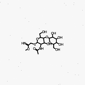 COC(=N)CSC1OC(CO)C(OC2OC(CO)C(O)C(O)C2O)C(O)C1NC(C)=O